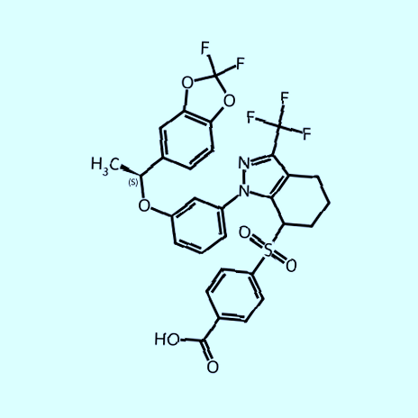 C[C@H](Oc1cccc(-n2nc(C(F)(F)F)c3c2C(S(=O)(=O)c2ccc(C(=O)O)cc2)CCC3)c1)c1ccc2c(c1)OC(F)(F)O2